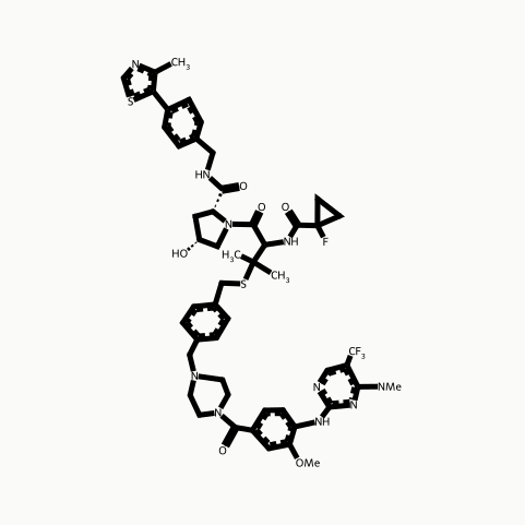 CNc1nc(Nc2ccc(C(=O)N3CCN(Cc4ccc(CSC(C)(C)C(NC(=O)C5(F)CC5)C(=O)N5C[C@H](O)C[C@@H]5C(=O)NCc5ccc(-c6scnc6C)cc5)cc4)CC3)cc2OC)ncc1C(F)(F)F